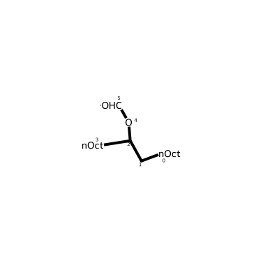 CCCCCCCCCC(CCCCCCCC)O[C]=O